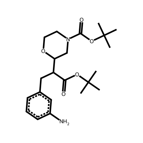 CC(C)(C)OC(=O)C(Cc1cccc(N)c1)C1CN(C(=O)OC(C)(C)C)CCO1